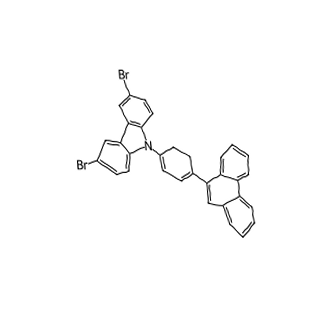 Brc1ccc2c(c1)c1cc(Br)ccc1n2C1=CC=C(c2cc3ccccc3c3ccccc23)CC1